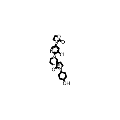 O=C1OCCN1c1cnc(N2CCC[C@@]3(CCN(C4CCC(O)CC4)C3=O)C2)c(Cl)c1